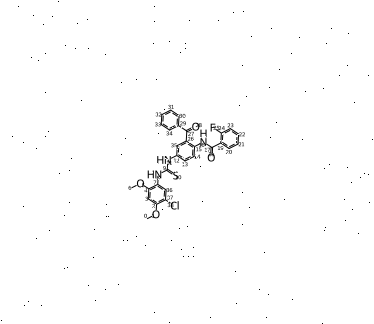 COc1cc(OC)c(NC(=S)Nc2ccc(NC(=O)c3ccccc3F)c(C(=O)c3ccccc3)c2)cc1Cl